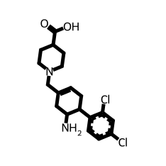 NC1CC(CN2CCC(C(=O)O)CC2)=CCC1c1ccc(Cl)cc1Cl